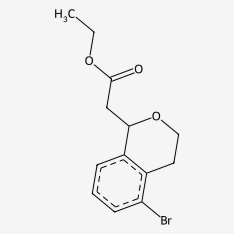 CCOC(=O)CC1OCCc2c(Br)cccc21